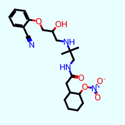 CC(C)(CNC(=O)CC1CCCCC1O[N+](=O)[O-])NCC(O)COc1ccccc1C#N